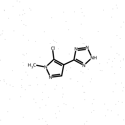 Cn1ncc(-c2nn[nH]n2)c1Cl